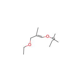 CCOCC(C)=CO[Si](C)(C)C